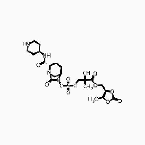 Cc1oc(=O)oc1COC(=O)C(C)(C)COS(=O)(=O)ON1C(=O)N2CC1CC[C@H]2C(=O)NC1CCNCC1